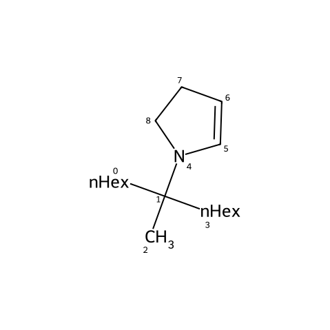 CCCCCCC(C)(CCCCCC)N1C=CCC1